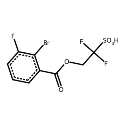 O=C(OCC(F)(F)S(=O)(=O)O)c1cccc(F)c1Br